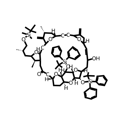 C=C1C[C@@H]2/C=C/C(O)C[C@H]3O[C@H]4[C@@H](O[Si](c5ccccc5)(c5ccccc5)C(C)(C)C)[C@H]5O[C@H](CC[C@@H]5O[C@H]4[C@H]3O[Si](c3ccccc3)(c3ccccc3)C(C)(C)C)CC(=O)CC3[C@@H](C)C(C[C@H](C)CO[Si](C)(C)C(C)(C)C)O[C@H]3CC3O[C@@H](CCC1O2)C[C@@H](C)C3=C